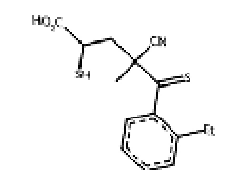 CCc1ccccc1C(=S)C(C)(C#N)CC(S)C(=O)O